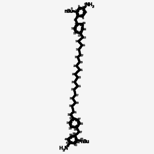 CCCCc1cc(N)ccc1Cc1ccc(CCCCCCCCCCCCCCCCCCCCc2ccc(Cc3ccc(N)cc3CCCC)cc2)cc1